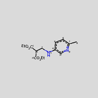 CCOC(=O)C(CNc1ccc(C)nc1)C(=O)OCC